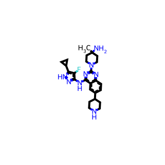 CC1(N)CCN(c2nc(Nc3n[nH]c(C4CC4)c3F)c3cc(C4CCNCC4)ccc3n2)CC1